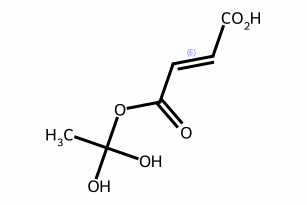 CC(O)(O)OC(=O)/C=C/C(=O)O